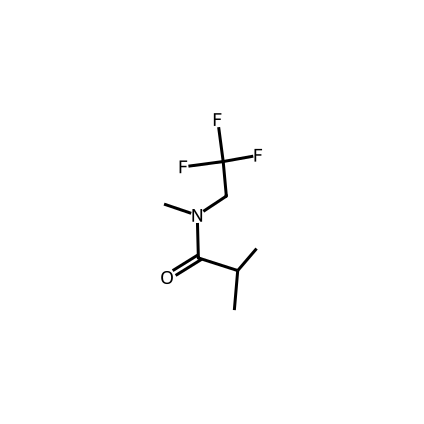 CC(C)C(=O)N(C)CC(F)(F)F